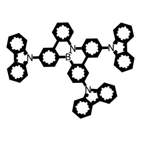 c1ccc2c(c1)-c1cc(-n3c4ccccc4c4ccccc43)ccc1B1c3ccc(-n4c5ccccc5c5ccccc54)cc3-c3cc(-n4c5ccccc5c5ccccc54)ccc3N12